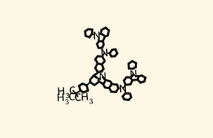 CC(C)(C)c1ccc(-c2cc3c4cc5ccc(N(c6ccccc6)c6ccc7c(c6)c6ccccc6n7-c6ccccc6)cc5cc4n4c5cc6cc(N(c7ccccc7)c7ccc8c(c7)c7ccccc7n8-c7ccccc7)ccc6cc5c(c2)c34)cc1